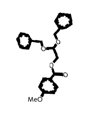 COc1ccc(C(=O)OCC(OCc2ccccc2)OCc2ccccc2)cc1